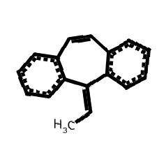 CC=C1c2ccccc2C=Cc2ccccc21